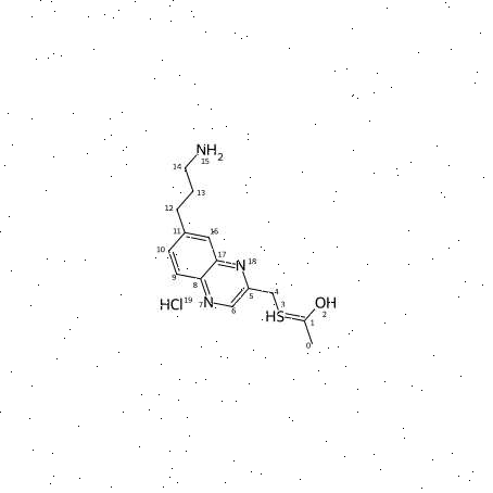 CC(O)=[SH]Cc1cnc2ccc(CCCN)cc2n1.Cl